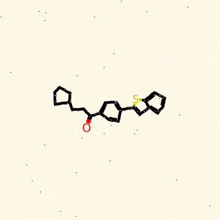 O=C(CCC1CCCC1)c1ccc(-c2cc3ccccc3s2)cc1